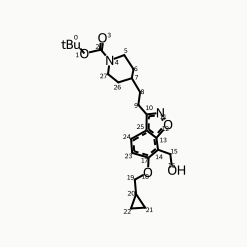 CC(C)(C)OC(=O)N1CCC(CCc2noc3c(CO)c(OCC4CC4)ccc23)CC1